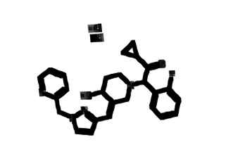 Cl.Cl.O=C(C1CC1)C(c1ccccc1F)N1CCC(S)/C(=C\c2ccn(Cc3ccccn3)n2)C1